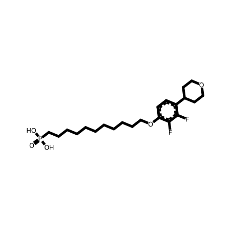 O=P(O)(O)CCCCCCCCCCCOc1ccc(C2CCOCC2)c(F)c1F